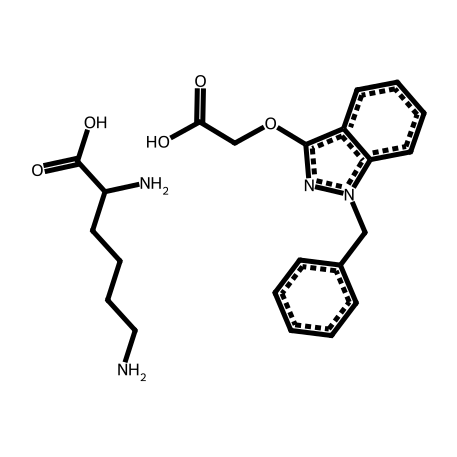 NCCCCC(N)C(=O)O.O=C(O)COc1nn(Cc2ccccc2)c2ccccc12